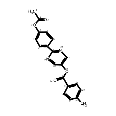 CC(=O)Oc1ccc(-c2ncc(OC(=O)c3ccc(C)cc3)cn2)cc1